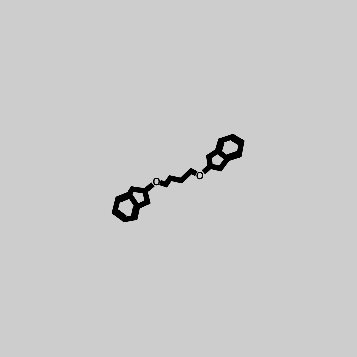 c1ccc2c(c1)CC(OCCCCOC1Cc3ccccc3C1)C2